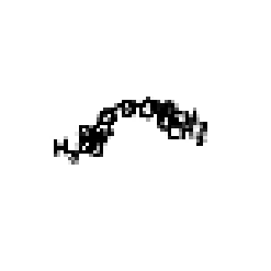 CC(C)OC(=O)N1CCC(COCc2ccc3c(c2)CCN(S(C)(=O)=O)C3)CC1